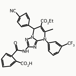 CCOC(=O)C1=C(C)N(c2cccc(C(F)(F)F)c2)c2nc(NC(=O)c3ccccc3C(=O)O)nn2C1c1ccc(C#N)cc1